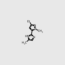 CCc1cc(-c2ncc(C)[nH]2)n(C)n1